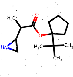 CC(C(=O)OC1(C(C)(C)C)CCCC1)C1CN1